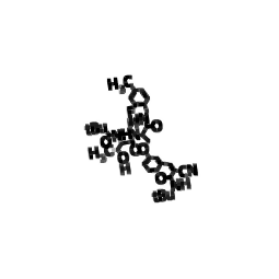 Cc1ccc(CNC(=O)C(COc2cccc(C=C(C#N)C(=O)NC(C)(C)C)c2)NC(=O)[C@@H](NC(=O)C(C)(C)C)[C@@H](C)O)c(F)c1